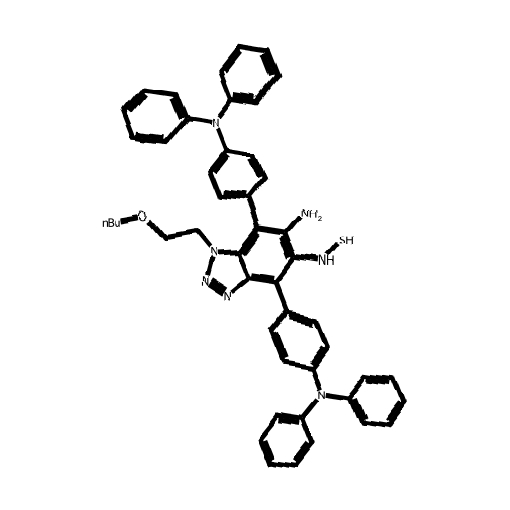 CCCCOCCn1nnc2c(-c3ccc(N(c4ccccc4)c4ccccc4)cc3)c(NS)c(N)c(-c3ccc(N(c4ccccc4)c4ccccc4)cc3)c21